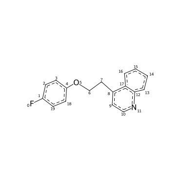 Fc1ccc(OCCc2ccnc3ccccc23)cc1